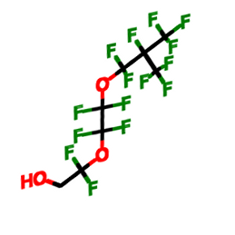 OCC(F)(F)OC(F)(F)C(F)(F)OC(F)(F)C(F)(C(F)(F)F)C(F)(F)F